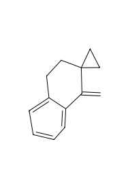 C=C1c2ccccc2CCC12CC2